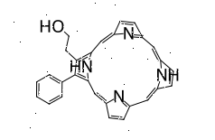 OCCc1c(-c2ccccc2)c2cc3nc(cc4ccc(cc5nc(cc1[nH]2)C=C5)[nH]4)C=C3